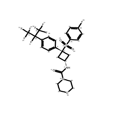 O=C(N[C@H]1C[C@@](c2ccc(C(F)(C(F)(F)F)C(F)(F)F)cc2)(S(=O)(=O)c2ccc(F)cc2)C1)N1CCOCC1